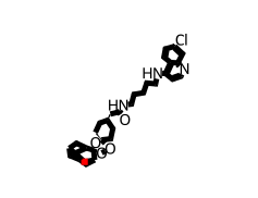 O=C(C[C@H]1CC[C@]2(CC1)OO[C@]1(O2)C2CC3CC(C2)CC1C3)NCCCCCNc1ccnc2cc(Cl)ccc12